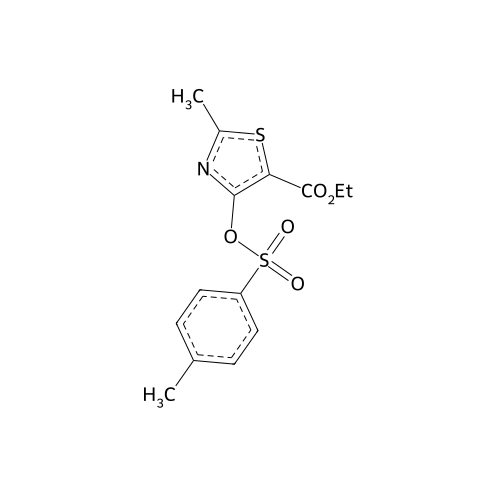 CCOC(=O)c1sc(C)nc1OS(=O)(=O)c1ccc(C)cc1